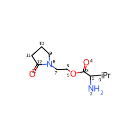 CC(C)C(N)C(=O)OCCN1CCCC1=O